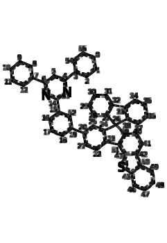 c1ccc(-c2cc(-c3ccccc3)nc(-c3cccc(-c4ccc5c(c4)C4(c6ccccc6-c6ccccc64)c4ccc6c(sc7ccccc76)c4-5)c3)n2)cc1